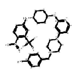 O=[N+]([O-])c1ccc(N[C@H]2CC[C@H](Oc3cc(N4CCN(Cc5ccc(F)cc5)CC4)ccn3)CC2)cc1C(F)(F)F